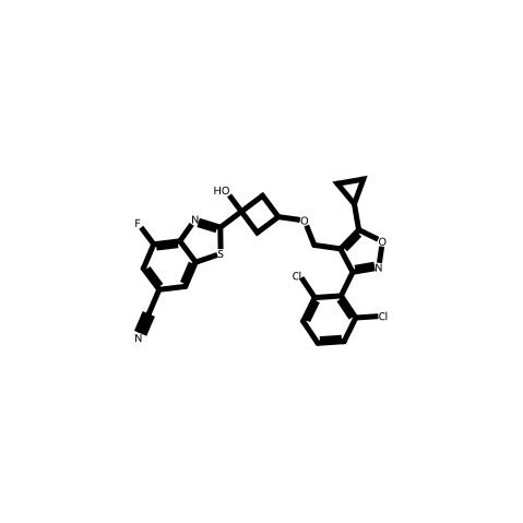 N#Cc1cc(F)c2nc(C3(O)CC(OCc4c(-c5c(Cl)cccc5Cl)noc4C4CC4)C3)sc2c1